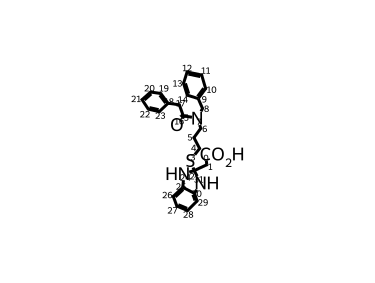 O=C(O)CC1(SCCCN(Cc2ccccc2)C(=O)Cc2ccccc2)Nc2ccccc2N1